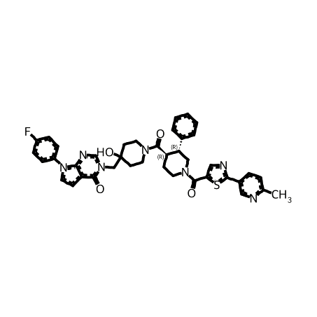 Cc1ccc(-c2ncc(C(=O)N3CC[C@@H](C(=O)N4CCC(O)(Cn5cnc6c(ccn6-c6ccc(F)cc6)c5=O)CC4)[C@H](c4ccccc4)C3)s2)cn1